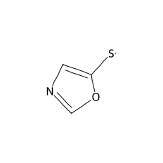 [S]c1cnco1